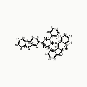 c1ccc(-c2nc(-c3ccc4c(c3)sc3ccccc34)nc(-c3cccc4oc5nc6ccccc6cc5c34)n2)cc1